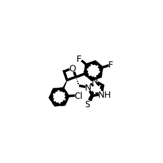 Fc1ccc([C@]2(Cn3nc[nH]c3=S)OC[C@@H]2c2ccccc2Cl)c(F)c1